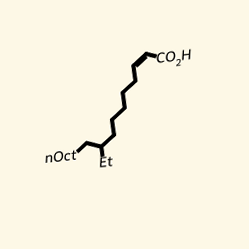 CCCCCCCCCC(CC)CCCCC/C=C\C(=O)O